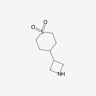 O=S1(=O)CCC(C2CNC2)CC1